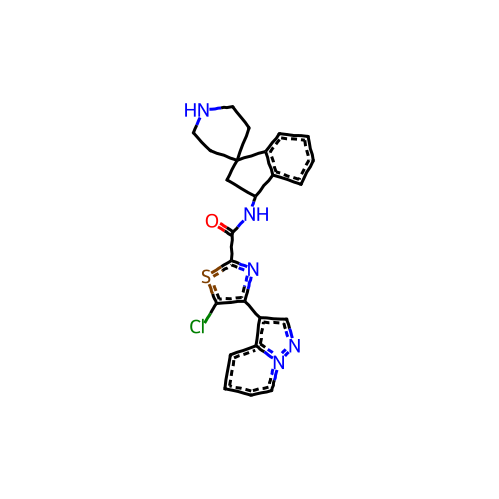 O=C(NC1CC2(CCNCC2)c2ccccc21)c1nc(-c2cnn3ccccc23)c(Cl)s1